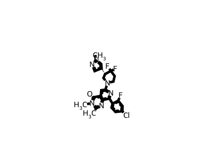 Cc1nc2c(-c3ccc(Cl)cc3F)nc(N3CCC(F)(F)[C@@H](c4cnn(C)c4)C3)cc2c(=O)n1C